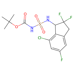 CC(C)(C)OC(=O)NS(=O)(=O)NC1c2c(Cl)cc(F)cc2CC1(F)F